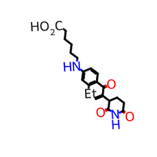 C=C(C(=O)c1ccc(NCCCCCC(=O)O)cc1CC)C1CCC(=O)NC1=O